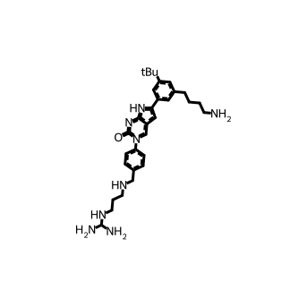 CC(C)(C)c1cc(CCCCN)cc(-c2cc3cn(-c4ccc(CNCCCNC(N)N)cc4)c(=O)nc3[nH]2)c1